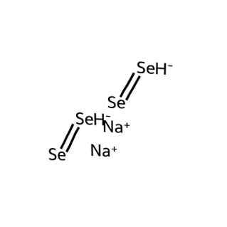 [Na+].[Na+].[Se]=[SeH-].[Se]=[SeH-]